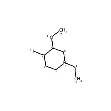 CCN1CCC(I)C(OC)C1